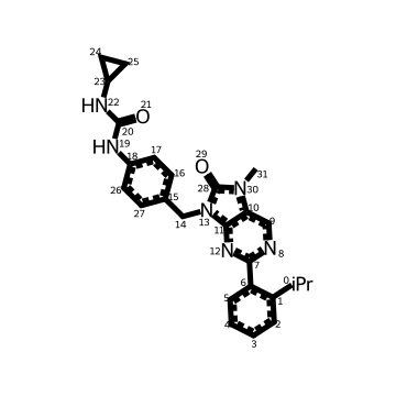 CC(C)c1ccccc1-c1ncc2c(n1)n(Cc1ccc(NC(=O)NC3CC3)cc1)c(=O)n2C